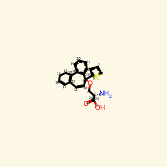 N[C@@H](COC1(c2cccs2)C=CC2=C(CCC=C2)c2ccccc21)C(=O)O